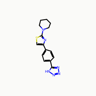 c1cc(-c2nnn[nH]2)ccc1-c1csc(N2CCCCC2)n1